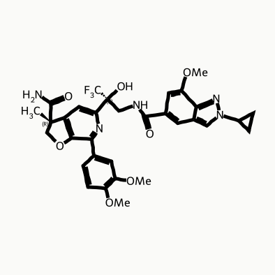 COc1ccc(-c2nc([C@@](O)(CNC(=O)c3cc(OC)c4nn(C5CC5)cc4c3)C(F)(F)F)cc3c2OC[C@]3(C)C(N)=O)cc1OC